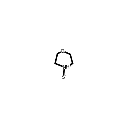 [S-][NH+]1CCOCC1